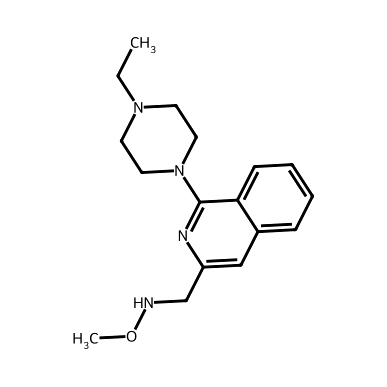 CCN1CCN(c2nc(CNOC)cc3ccccc23)CC1